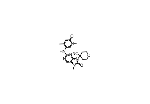 Cc1cc(=O)n(C)cc1Nc1ncc2c(n1)n(C1(C#N)CCOCC1)c(=O)n2C